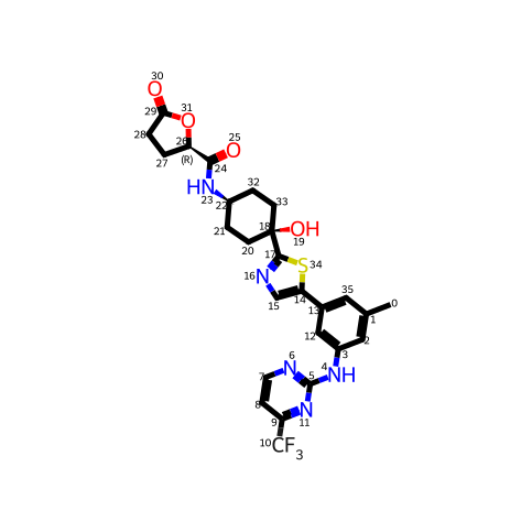 Cc1cc(Nc2nccc(C(F)(F)F)n2)cc(-c2cnc([C@]3(O)CC[C@@H](NC(=O)[C@H]4CCC(=O)O4)CC3)s2)c1